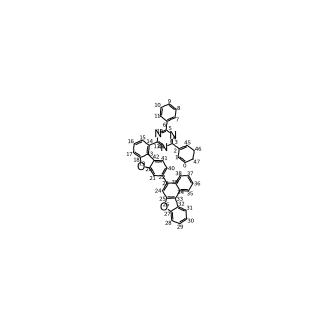 C1=CC(c2nc(-c3ccccc3)nc(-c3cccc4oc5cc(-c6cc7oc8ccccc8c7c7ccccc67)ccc5c34)n2)=CCC1